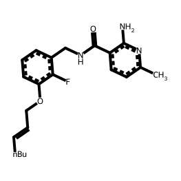 CCCCC=CCOc1cccc(CNC(=O)c2ccc(C)nc2N)c1F